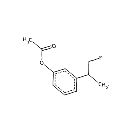 [CH2]C(CF)c1cccc(OC(C)=O)c1